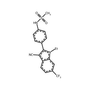 CCn1c(-c2ccc(NS(C)(=O)=O)cc2)c(C#N)c2ccc(C(F)(F)F)cc21